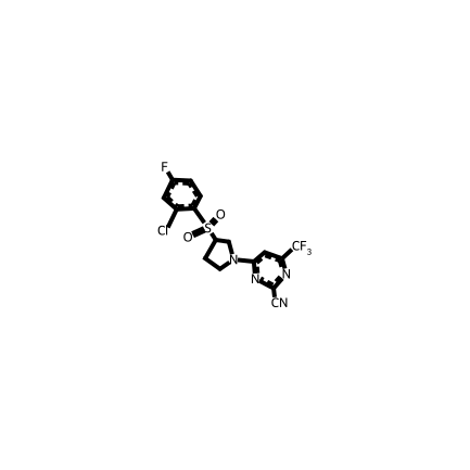 N#Cc1nc(N2CCC(S(=O)(=O)c3ccc(F)cc3Cl)C2)cc(C(F)(F)F)n1